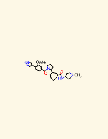 COc1cc(C(=O)N2CCCC2C2=CC(C(=O)NC3CCN(C)CC3)CCC=C2)ccc1-c1cn[nH]c1